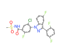 CS(=O)(=O)NC(=O)c1cc(Cl)c(-n2nc(-c3cc(F)ccc3F)c3cc(F)ccc32)cc1F